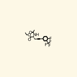 CCOC(=O)[C@H](CC#Cc1ccc(F)c(C(F)(F)F)c1)NC(C)=O